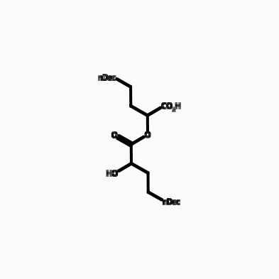 CCCCCCCCCCCCC(O)C(=O)OC(CCCCCCCCCCCC)C(=O)O